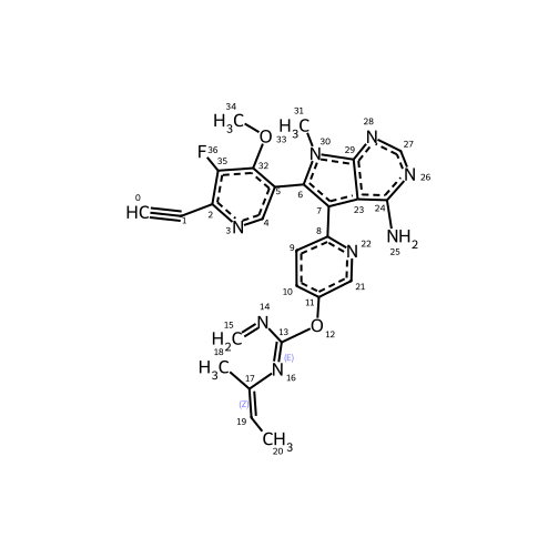 C#Cc1ncc(-c2c(-c3ccc(O/C(N=C)=N/C(C)=C\C)cn3)c3c(N)ncnc3n2C)c(OC)c1F